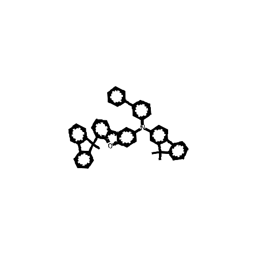 CC1(C)c2ccccc2-c2ccc(N(c3cccc(-c4ccccc4)c3)c3ccc4oc5c(C6(C)c7ccccc7-c7ccccc76)cccc5c4c3)cc21